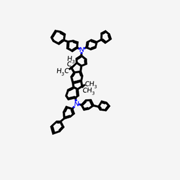 CC1(C)C2=CC(N(c3ccc(-c4ccccc4)cc3)c3ccc(-c4ccccc4)cc3)=CCC=C2c2cc3c(cc21)C1C=CC(N(c2ccc(C4=CCC=CC=C4)cc2)c2ccc(-c4ccccc4)cc2)=CC1C3(C)C